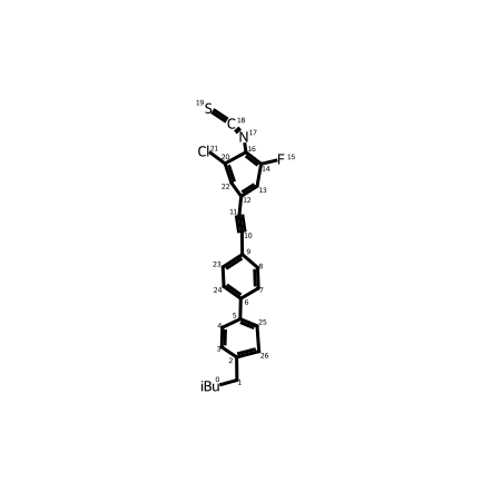 CCC(C)Cc1ccc(-c2ccc(C#Cc3cc(F)c(N=C=S)c(Cl)c3)cc2)cc1